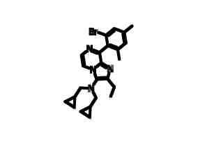 CCc1nc2c(-c3c(C)cc(C)cc3Br)nccn2c1N(CC1CC1)CC1CC1